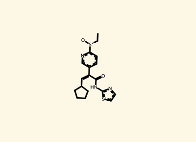 CC[S+]([O-])c1ccc(C(=CC2CCCC2)C(=O)Nc2nccs2)cn1